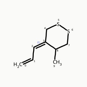 C=C/C=C1/CSSCC1C